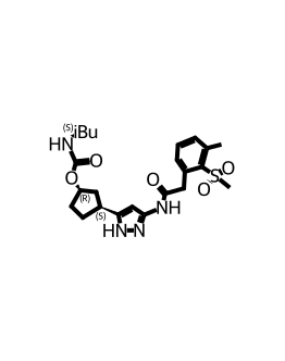 CC[C@H](C)NC(=O)O[C@@H]1CC[C@H](c2cc(NC(=O)Cc3cccc(C)c3S(C)(=O)=O)n[nH]2)C1